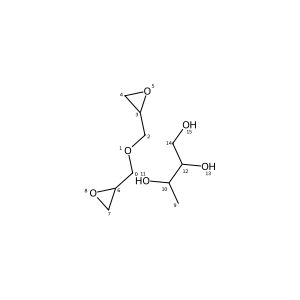 C(OCC1CO1)C1CO1.CC(O)C(O)CO